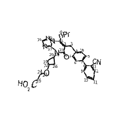 CCCc1c(Cc2ccc(-c3ccccc3C#N)cc2)c(=O)n(C2CC(OCC(=O)O)C2)c2ncnn12